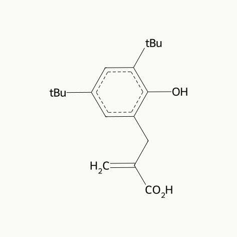 C=C(Cc1cc(C(C)(C)C)cc(C(C)(C)C)c1O)C(=O)O